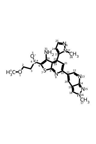 COCC[S@@+]([O-])c1sc2nc(-c3cnc4nn(C)cc4c3)cc(-c3ccnn3C)c2c1N